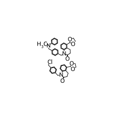 CN(Cc1ccc(CN2C(=O)CCc3c(C4OCCO4)cccc32)cc1)c1ccccc1.O=C1CCc2c(C3OCCO3)cccc2N1Cc1ccc(CCl)cc1